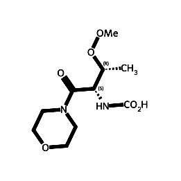 COO[C@H](C)[C@H](NC(=O)O)C(=O)N1CCOCC1